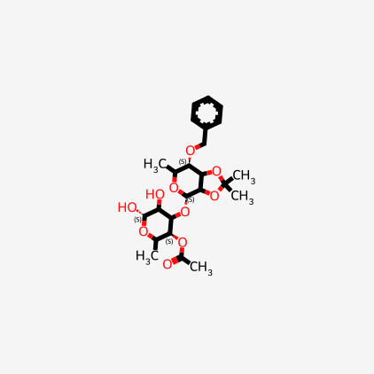 CC(=O)O[C@H]1C(C)O[C@H](O)C(O)C1O[C@@H]1OC(C)[C@H](OCc2ccccc2)C2OC(C)(C)OC21